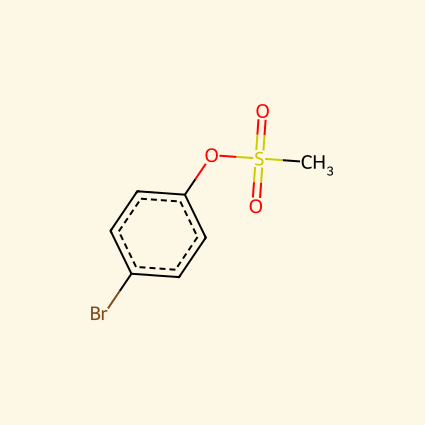 CS(=O)(=O)Oc1ccc(Br)cc1